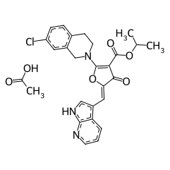 CC(=O)O.CC(C)OC(=O)C1=C(N2CCc3ccc(Cl)cc3C2)OC(=Cc2c[nH]c3ncccc23)C1=O